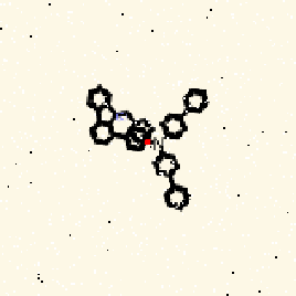 C(=C1\c2ccccc2-c2cccc(-c3ccc(N(c4ccc(-c5ccccc5)cc4)c4ccc(-c5ccccc5)cc4)cc3)c21)/c1ccccc1